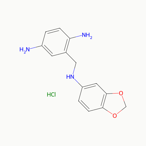 Cl.Nc1ccc(N)c(CNc2ccc3c(c2)OCO3)c1